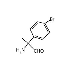 CC(N)(C=O)c1ccc(Br)cc1